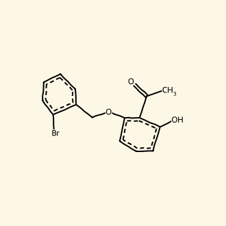 CC(=O)c1c(O)cccc1OCc1ccccc1Br